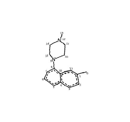 Cc1ccc2cccc(N3CCN(C)CC3)c2c1